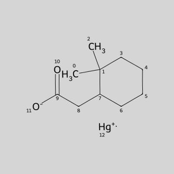 CC1(C)CCCCC1CC(=O)[O-].[Hg+]